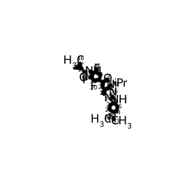 CC(C)n1c(=O)c(-c2cc(F)c(NC(=O)[C@@H]3C[C@H]3C)c(F)c2F)cc2cnc(N[C@H]3CC[C@H](N(C)C)CC3)nc21